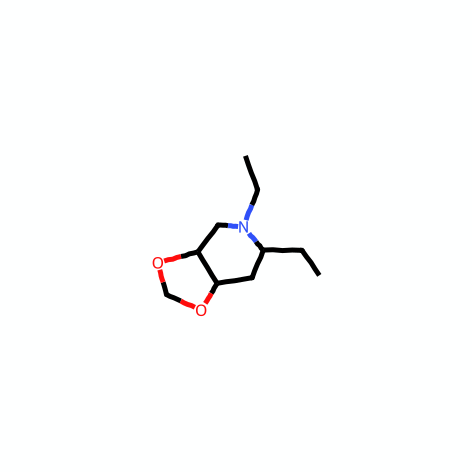 CCC1CC2OCOC2CN1CC